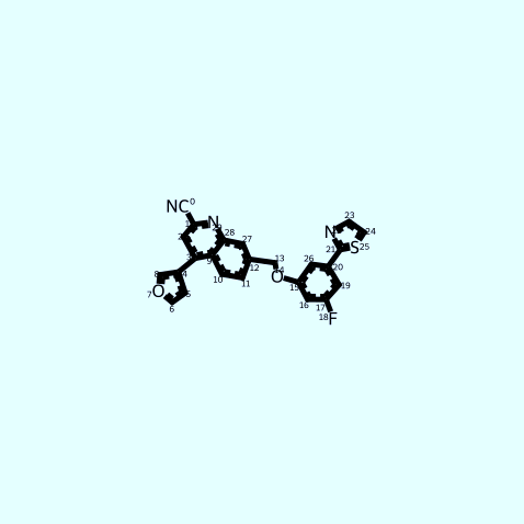 N#Cc1cc(-c2ccoc2)c2ccc(COc3cc(F)cc(-c4nccs4)c3)cc2n1